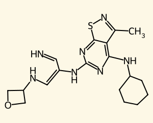 Cc1nsc2nc(N/C(C=N)=C/NC3COC3)nc(NC3CCCCC3)c12